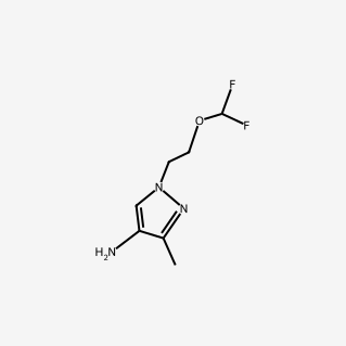 Cc1nn(CCOC(F)F)cc1N